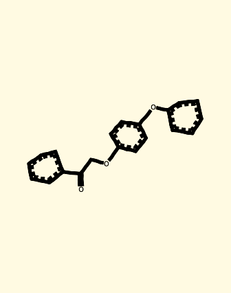 O=C(COc1ccc(Oc2ccccc2)cc1)c1ccccc1